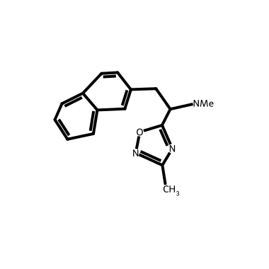 CNC(Cc1ccc2ccccc2c1)c1nc(C)no1